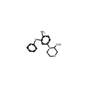 Nc1ccc(N2CCOCC2C=O)cc1Oc1ccccc1